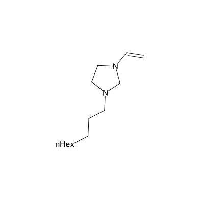 C=CN1CCN(CCCCCCCCC)C1